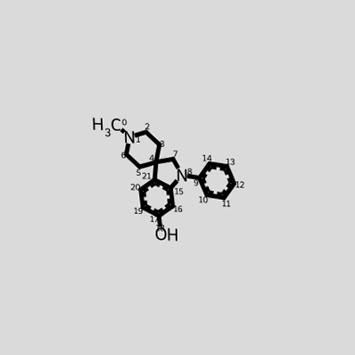 CN1CCC2(CC1)CN(c1ccccc1)c1cc(O)ccc12